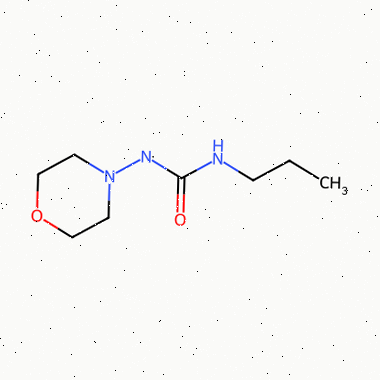 CCCNC(=O)[N]N1CCOCC1